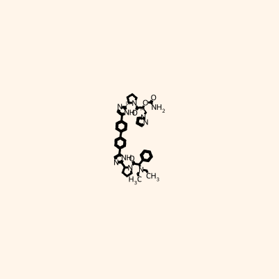 CCN(CC)C(C(=O)N1CCCC1c1ncc(-c2ccc(-c3ccc(-c4cnc([C@@H]5CCCN5C(=O)[C@H](Cn5cccn5)OC(N)=O)[nH]4)cc3)cc2)[nH]1)c1ccccc1